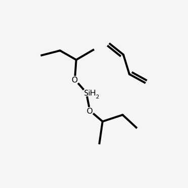 C=CC=C.CCC(C)O[SiH2]OC(C)CC